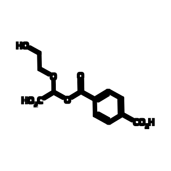 O=C(O)c1ccc(C(=O)OC(OCCO)C(=O)O)cc1